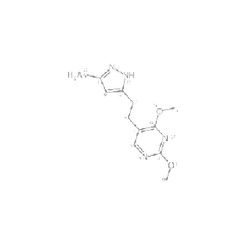 COc1ncc(CCc2cc([AsH2])n[nH]2)c(OC)n1